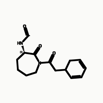 O=[C]N[C@H]1CCCCN(C(=O)CC2C=CC=CC2)C1=O